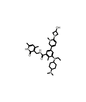 CCN(c1cc(C2=CC=C(N3CC(O)C3)N(C)C2)cc(C(=O)NCc2c(C)cc(C)[nH]c2=O)c1C)C1CCC(N(C)C)CC1